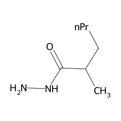 CCCCC(C)C(=O)NN